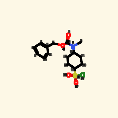 CN(C(=O)OCc1ccccc1)C1CCC(S(=O)(=O)Cl)CC1